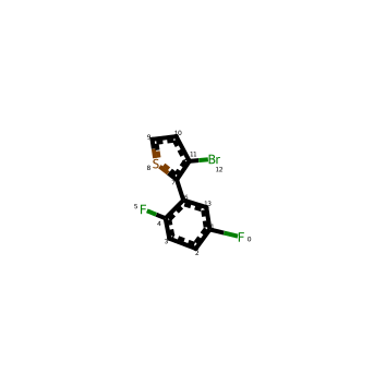 Fc1ccc(F)c(-c2sccc2Br)c1